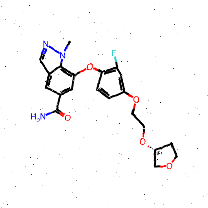 Cn1ncc2cc(C(N)=O)cc(Oc3ccc(OCCO[C@@H]4CCOC4)cc3F)c21